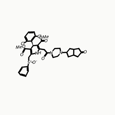 COC(=O)C1=C(CC(=O)N2CCN(C3CC4CC(=O)CC4C3)CC2)NC(C[S@+]([O-])c2ccccc2)=C(C(=O)OC)[C@H]1c1c(Cl)cccc1Cl